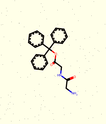 NCC(=O)NCC(=O)OC(c1ccccc1)(c1ccccc1)c1ccccc1